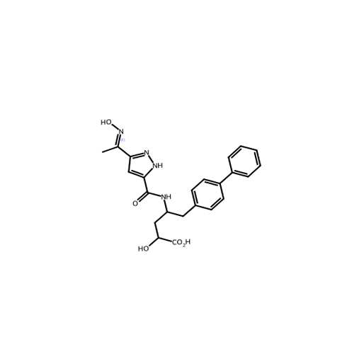 C/C(=N\O)c1cc(C(=O)NC(Cc2ccc(-c3ccccc3)cc2)CC(O)C(=O)O)[nH]n1